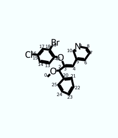 COC(C(=Cc1cccnc1)Oc1ccc(Cl)cc1Br)c1ccccc1